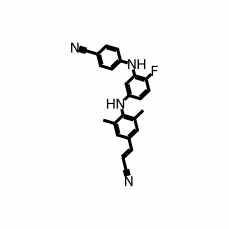 Cc1cc(C=CC#N)cc(C)c1Nc1ccc(F)c(Nc2ccc(C#N)cc2)c1